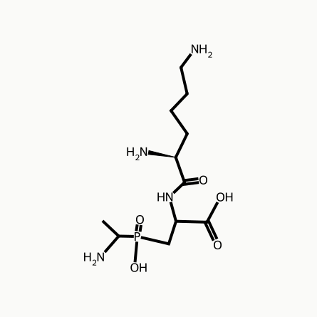 CC(N)P(=O)(O)CC(NC(=O)[C@@H](N)CCCCN)C(=O)O